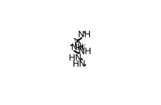 CNCNC(CNC)N[C@@H](C)O[C@@H](C)CNC